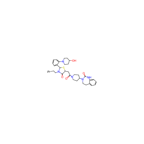 CC(C)CCN1C(=O)C(CC(=O)N2CCC(N3CCc4ccccc4NC3=O)CC2)SC1c1ccccc1N1CCC(O)CC1